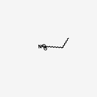 CCCCCCCC/C=C\CCCCCCCCCCCC(=O)OCC[N+](C)(C)C